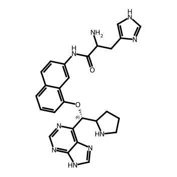 NC(Cc1c[nH]cn1)C(=O)Nc1ccc2cccc(O[C@@H](c3ncnc4[nH]cnc34)C3CCCN3)c2c1